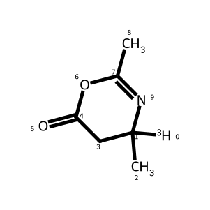 [3H]C1(C)CC(=O)OC(C)=N1